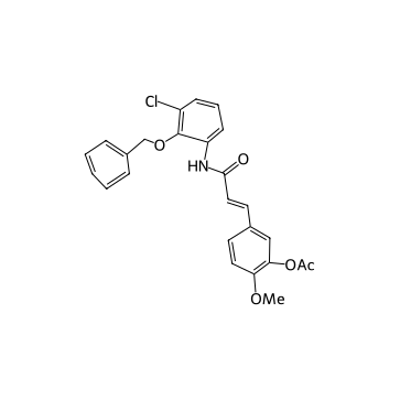 COc1ccc(/C=C/C(=O)Nc2cccc(Cl)c2OCc2ccccc2)cc1OC(C)=O